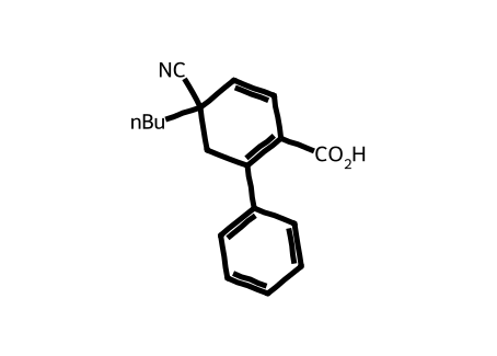 CCCCC1(C#N)C=CC(C(=O)O)=C(c2ccccc2)C1